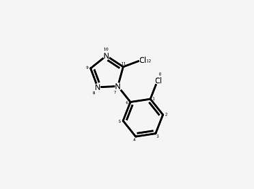 Clc1ccccc1-n1ncnc1Cl